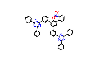 O=[N+]([O-])c1ccccc1-c1cc(-c2cccc(-c3nc(-c4ccccc4)nc(-c4ccccc4)n3)c2)cc(-c2cccc(-c3nc(-c4ccccc4)nc(-c4ccccc4)n3)c2)c1